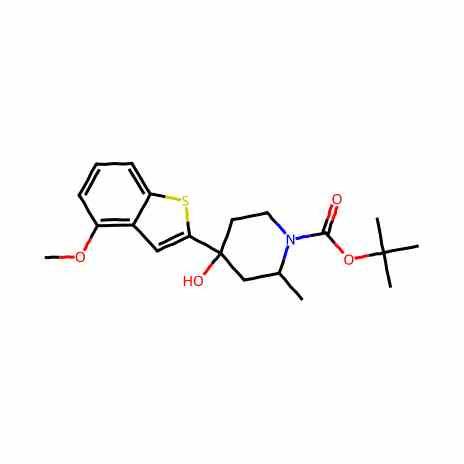 COc1cccc2sc(C3(O)CCN(C(=O)OC(C)(C)C)C(C)C3)cc12